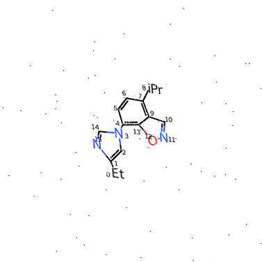 CCc1cn(-c2ccc(C(C)C)c3cnoc23)cn1